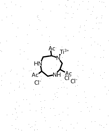 CC(=O)C1CNC(C(C)=O)C[N]([Ti+3])C(C(C)=O)CN1.[Cl-].[Cl-].[Cl-]